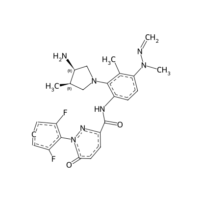 C=NN(C)c1ccc(NC(=O)c2ccc(=O)n(-c3c(F)cccc3F)n2)c(N2C[C@@H](C)[C@@H](N)C2)c1C